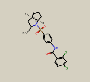 O=C(Nc1ccc(S(=O)(=O)N2C(C(=O)O)C[C@H]3CCC[C@H]32)cc1)c1ccc(Cl)cc1Cl